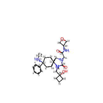 CCNC1(c2ccccc2)CCC2(CC1)CN(CC(=O)NC1COC1)C(=O)N2CC1(O)CCC1